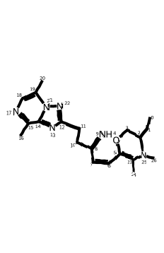 CCC1COC(/C=C\C(=N)CCc2nc3c(C)ncc(C)n3n2)=C(C)N1C